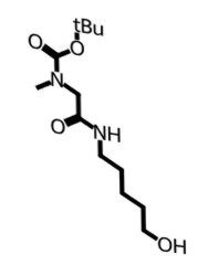 CN(CC(=O)NCCCCCO)C(=O)OC(C)(C)C